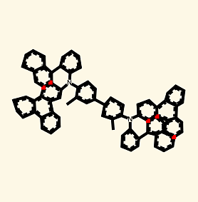 Cc1cc(-c2ccc(N(c3ccc4c5ccccc5c5ccccc5c4c3)c3ccccc3-c3cccc4ccccc34)c(C)c2)ccc1N(c1ccc2c3ccccc3c3ccccc3c2c1)c1ccccc1-c1cccc2ccccc12